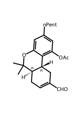 CCCCCc1cc(OC(C)=O)c2c(c1)OC(C)(C)[C@@H]1CC=C(C=O)C[C@@H]21